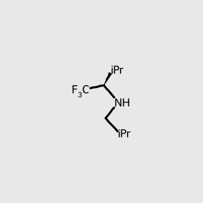 CC(C)CN[C@H](C(C)C)C(F)(F)F